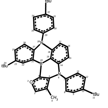 Cc1coc2c1N(c1ccc(C(C)(C)C)cc1)c1cccc3c1B2c1cc(C(C)(C)C)ccc1N3c1ccc(C(C)(C)C)cc1